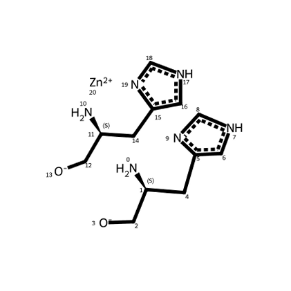 N[C@H](C[O-])Cc1c[nH]cn1.N[C@H](C[O-])Cc1c[nH]cn1.[Zn+2]